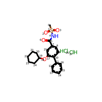 CS(=O)(=O)NC(=O)c1ccc(-c2ccccc2)c(OC2CCCCC2)c1.Cl.Cl